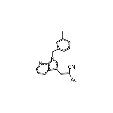 CC(=O)/C(C#N)=C/c1cn(Cc2cccc(C)c2)c2ncccc12